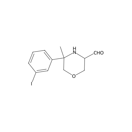 CC1(c2cccc(I)c2)COCC(C=O)N1